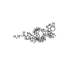 CC(C)(C)[Si](C)(C)CO[C@H]1[C@H]2OP(=O)(S)OC[C@H]3O[C@@H](n4cc5c6c(ncnc64)NCCC5)[C@H](O[Si](C)(C)C(C)(C)C)[C@@H]3OP(=O)(S)OC[C@H]1O[C@H]2n1cnc2c(NCCN)ncnc21